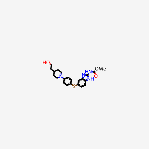 COC(=O)Nc1nc2cc(Sc3ccc(N4CCC(CCO)CC4)cc3)ccc2[nH]1